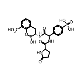 O=C1CCC(C(=O)NC(C(=O)N[C@H]2Cc3cccc(C(=O)O)c3OB2O)c2ccc(P(=O)(O)O)cc2)N1